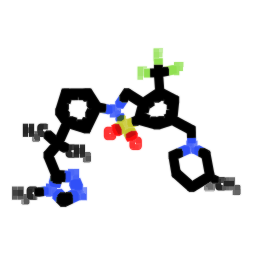 C[C@H]1CCCN(Cc2cc(C(F)(F)F)c3c(c2)S(=O)(=O)N(c2cccc(C(C)(C)Cc4nncn4C)c2)C3)C1